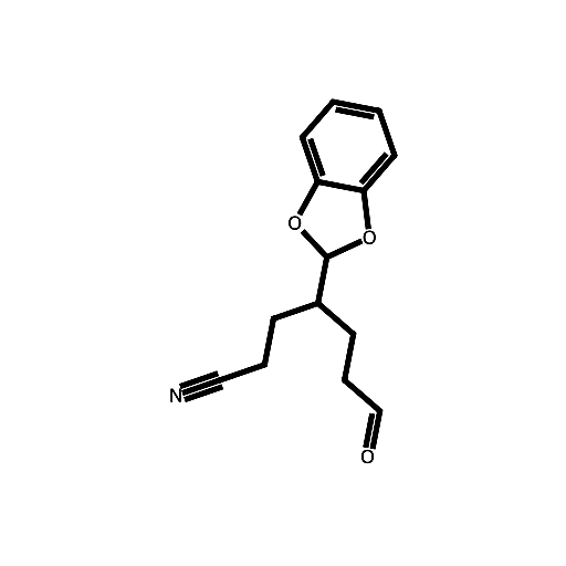 N#CCCC(CCC=O)C1Oc2ccccc2O1